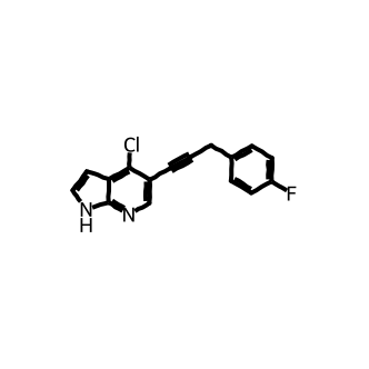 Fc1ccc(CC#Cc2cnc3[nH]ccc3c2Cl)cc1